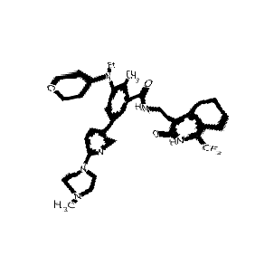 CCN(c1cc(-c2ccc(N3CCN(C)CC3)nc2)cc(C(=O)NCc2c3c(c(C(F)(F)F)[nH]c2=O)CCCC3)c1C)C1CCOCC1